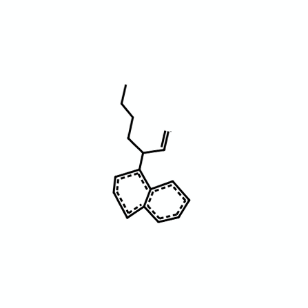 [CH]=CC(CCCC)c1cccc2ccccc12